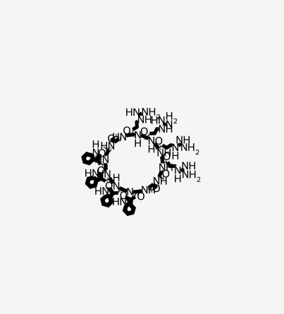 C[C@@H]1NC(=O)[C@H](C)NC(=O)[C@H](CCCNC(=N)N)NC(=O)[C@H](CCCNC(=N)N)NC(=O)[C@H](CCCNC(=N)N)NC(=O)[C@H](CCCNC(=N)N)NC(=O)[C@H](C)NC(=O)[C@H](C)NC(=O)[C@H](Cc2c[nH]c3ccccc23)NC(=O)[C@H](Cc2c[nH]c3ccccc23)NC(=O)[C@H](Cc2c[nH]c3ccccc23)NC(=O)[C@H](Cc2c[nH]c3ccccc23)NC1=O